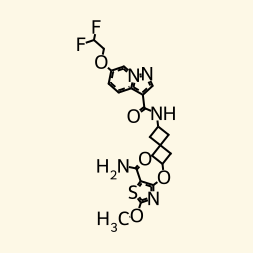 COc1nc(OC2CC3(CC(NC(=O)c4cnn5cc(OCC(F)F)ccc45)C3)C2)c(C(N)=O)s1